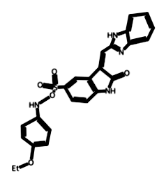 CCOc1ccc(NOS(=O)(=O)c2ccc3c(c2)C(=Cc2nc4ccccc4[nH]2)C(=O)N3)cc1